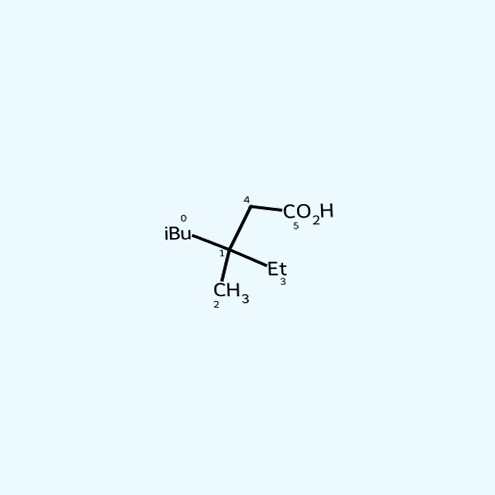 CCC(C)C(C)(CC)CC(=O)O